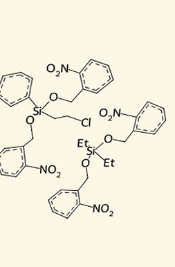 CC[Si](CC)(OCc1ccccc1[N+](=O)[O-])OCc1ccccc1[N+](=O)[O-].O=[N+]([O-])c1ccccc1CO[Si](CCCl)(OCc1ccccc1[N+](=O)[O-])c1ccccc1